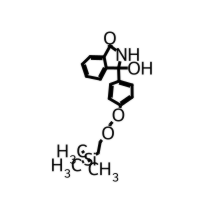 C[Si](C)(C)CCOCOc1ccc(C2(O)NC(=O)c3ccccc32)cc1